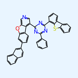 c1ccc(-c2nc(-c3cccc4c3sc3ccccc34)nc(-c3cncc4oc5cc(-c6ccc7ccccc7c6)ccc5c34)n2)cc1